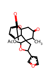 CC(=O)OC1OC(c2ccoc2)CC12C(C)C(=O)CC13COC(=O)C1=CC=CC32